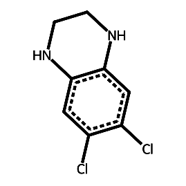 Clc1cc2c(cc1Cl)NCCN2